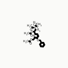 CC(=O)OCc1nc(C(CN(C(C)=O)C(C)(C)C)OC(C)=O)ccc1OCc1ccccc1